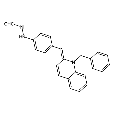 O=CNNc1ccc(/N=c2\ccc3ccccc3n2Cc2ccccc2)cc1